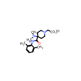 CCOC(=O)CN1CCC(C(=O)Nc2c(C)cccc2C)(N(C)C)CC1